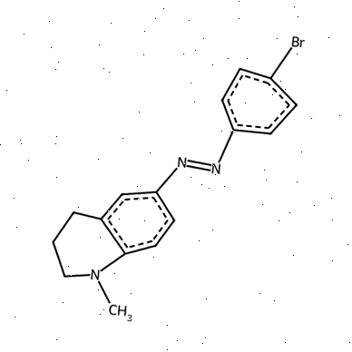 CN1CCCc2cc(/N=N/c3ccc(Br)cc3)ccc21